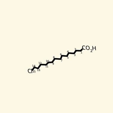 O=C(O)CCCCCCCCCCCCCCCl